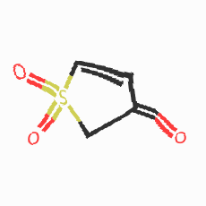 O=C1C=CS(=O)(=O)C1